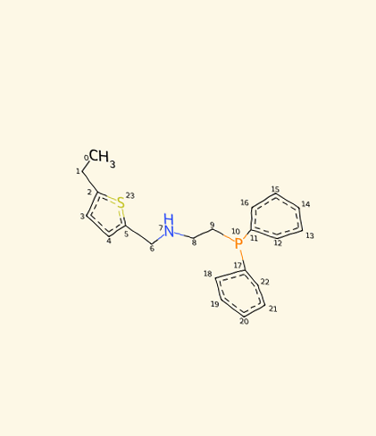 CCc1ccc(CNCCP(c2ccccc2)c2ccccc2)s1